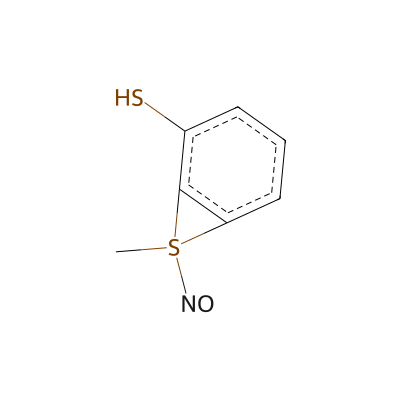 CS1(N=O)c2cccc(S)c21